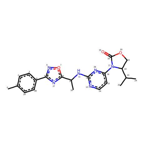 Cc1ccc(-c2noc(C(C)Nc3nccc(N4C(=O)OCC4C(C)C)n3)n2)cc1